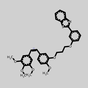 COc1ccc(/C=C\c2cc(OC)c(OC)c(OC)c2)cc1OCCCOc1cccc(-c2nc3ccccc3s2)c1